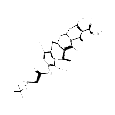 CC(C)(C)ONCC(=O)Nc1cc(F)c2c(c1O)C(=O)C1=C(O)[C@]3(O)C(=O)C(C(N)=O)=C(O)C[C@@H]3CC1C2